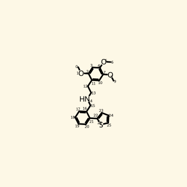 COc1cc(OC)c(OC)cc1CCNCc1ccccc1-c1cccs1